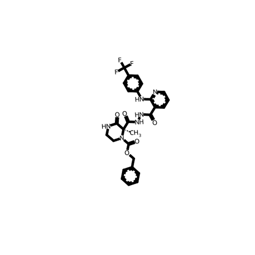 C[C@@]1(C(=O)NNC(=O)c2cccnc2Nc2ccc(C(F)(F)F)cc2)C(=O)NCCN1C(=O)OCc1ccccc1